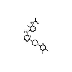 CC(=O)Nc1cccc(Nc2ncnc(N3CCN(c4cc(C)c(C)cn4)CC3)n2)c1C